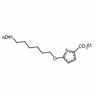 CCCCCCCCCCCCCCCCOc1ccc(C(=O)OCC)s1